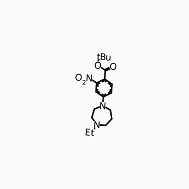 CCN1CCCN(c2ccc(C(=O)OC(C)(C)C)c([N+](=O)[O-])c2)CC1